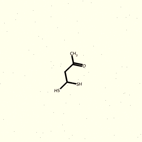 CC(=O)CC(S)S